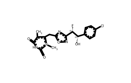 Cc1c(Cc2nc([C@H](F)[C@@H](O)c3ccc(Cl)cc3)no2)n(C)c(=O)[nH]c1=O